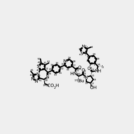 Cc1ncsc1-c1ccc([C@H](C)NC(=O)[C@@H]2C[C@@H](O)CN2C(=O)[C@@H](NC(=O)c2ccnc(-c3ccc(C4=N[C@@H](CC(=O)O)c5nnc(C)n5-c5sc(C)c(C)c54)cc3)c2)C(C)(C)C)cc1